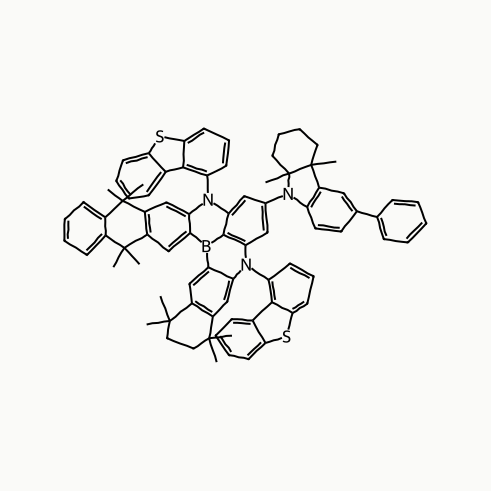 CC1(C)CCC(C)(C)c2cc3c(cc21)B1c2cc4c(cc2N(c2cccc5sc6ccccc6c25)c2cc(N5c6ccc(-c7ccccc7)cc6C6(C)CCCCC56C)cc(c21)N3c1cccc2sc3ccccc3c12)C(C)(C)c1ccccc1C4(C)C